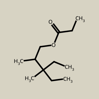 CCC(=O)OCC(C)C(C)(CC)CC